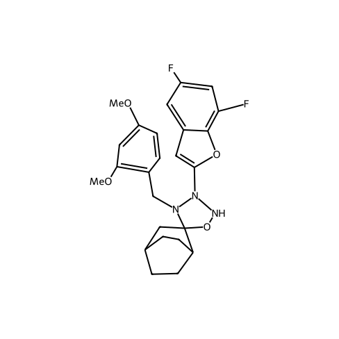 COc1ccc(CN2N(c3cc4cc(F)cc(F)c4o3)NOC23CC2CCC3CC2)c(OC)c1